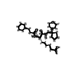 CC(=O)CCCCC[C@H](NC(=O)CCN1CCCCC1)C(=O)NCC1(N2CCOCC2)CCCC1